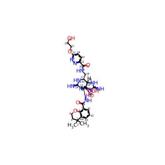 CC1(C)CCOc2c(C(=O)N[C@H]3CN4C(=N)N[C@@H](CNC(=O)c5ccc(OCCO)nn5)[C@@H]5NC(=N)N[C@@]54C3(O)O)cccc21